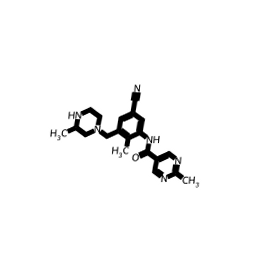 Cc1ncc(C(=O)Nc2cc(C#N)cc(CN3CCNC(C)C3)c2C)cn1